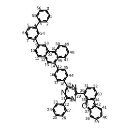 c1ccc(-c2cccc(-c3ccc4cc(-c5ccc(-c6nc(-c7ccccc7)nc(-c7cccc8c7oc7ccccc78)n6)cc5)c5ccccc5c4c3)c2)cc1